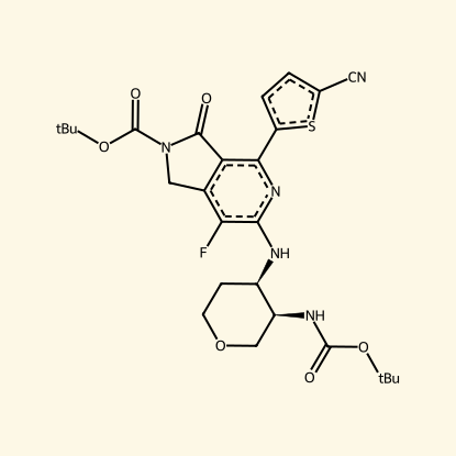 CC(C)(C)OC(=O)N[C@H]1COCC[C@H]1Nc1nc(-c2ccc(C#N)s2)c2c(c1F)CN(C(=O)OC(C)(C)C)C2=O